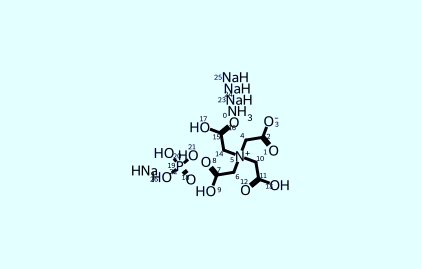 N.O=C([O-])C[N+](CC(=O)O)(CC(=O)O)CC(=O)O.O=P(O)(O)O.[NaH].[NaH].[NaH].[NaH]